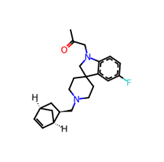 CC(=O)CN1CC2(CCN(C[C@@H]3C[C@@H]4C=C[C@H]3C4)CC2)c2cc(F)ccc21